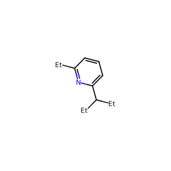 CCc1cccc(C(CC)CC)n1